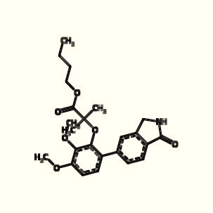 CCCCOC(=O)C(C)(C)Oc1c(-c2ccc3c(c2)CNC3=O)ccc(OC)c1OC